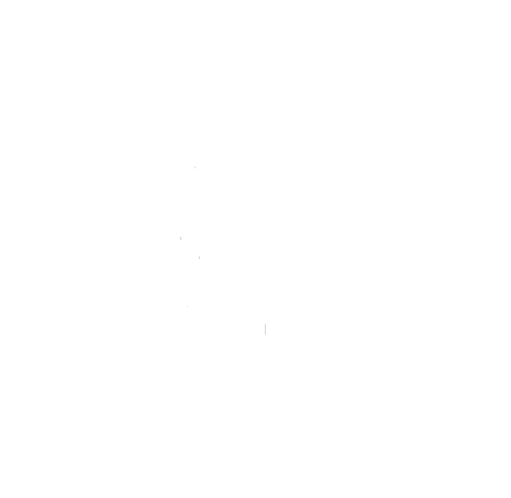 O=S(=O)=C1C=CC=CC1S(=O)(=O)Cl